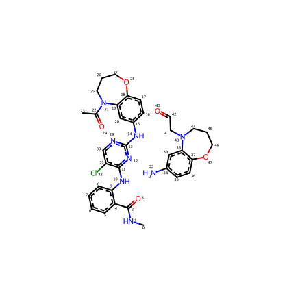 CNC(=O)c1ccccc1Nc1nc(Nc2ccc3c(c2)N(C(C)=O)CCCO3)ncc1Cl.Nc1ccc2c(c1)N(CC=O)CCCO2